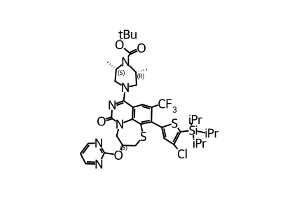 CC(C)[Si](c1sc(-c2c(C(F)(F)F)cc3c(N4C[C@@H](C)N(C(=O)OC(C)(C)C)[C@@H](C)C4)nc(=O)n4c3c2SC[C@@H](Oc2ncccn2)C4)cc1Cl)(C(C)C)C(C)C